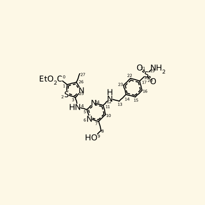 CCOC(=O)c1sc(Nc2nc(CO)cc(NCc3ccc(S(N)(=O)=O)cc3)n2)nc1C